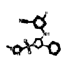 Cn1cnc(S(=O)(=O)N2C[C@H](Nc3cc(F)cc(C#N)c3)[C@@H](c3ccccc3)C2)c1